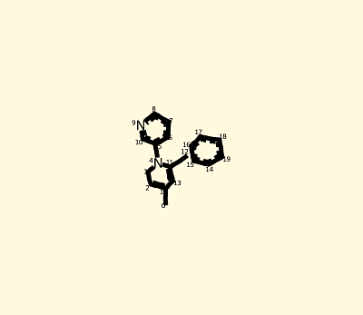 CC1=CCN(c2cccnc2)C(C)=C1.c1ccccc1